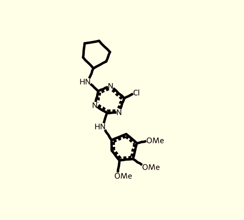 COc1cc(Nc2nc(Cl)nc(NC3CCCCC3)n2)cc(OC)c1OC